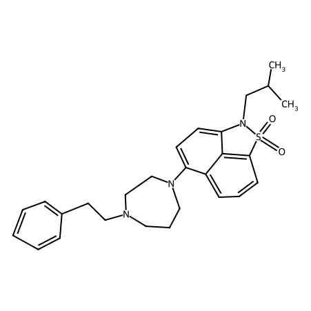 CC(C)CN1c2ccc(N3CCCN(CCc4ccccc4)CC3)c3cccc(c23)S1(=O)=O